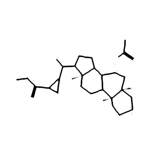 CCC(=O)C1CC1C(C)C1CCC2C3C(CC[C@]12C)[C@@]1(C)CC[C@@H](C)C[C@H]1C[C@H]3OC(C)=O